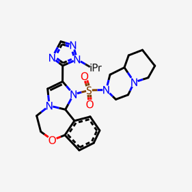 CC(C)n1ncnc1C1=CN2CCOc3ccccc3C2N1S(=O)(=O)N1CCN2CCCCC2C1